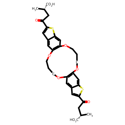 C[C@@H](CC(=O)c1cc2cc3c(cc2s1)OCCCOc1cc2sc(C(=O)C[C@H](C)C(=O)O)cc2cc1OCCCO3)C(=O)O